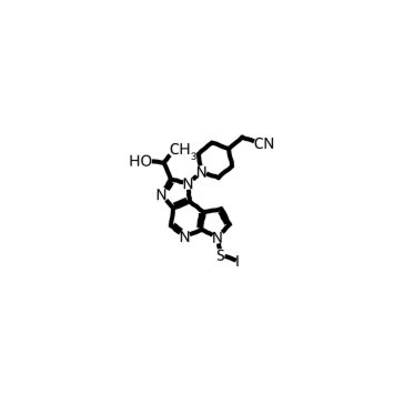 CC(O)c1nc2cnc3c(ccn3SI)c2n1N1CCC(CC#N)CC1